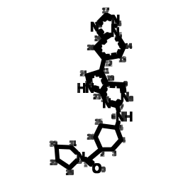 O=C(C1CCC(Nc2ncc3c(-c4ccn5ncnc5c4)c[nH]c3n2)CC1)N1CCCC1